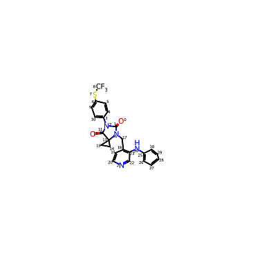 O=C1N(c2ccc(SC(F)(F)F)cc2)C(=O)C2(CC2)N1Cc1ccncc1Nc1ccccc1